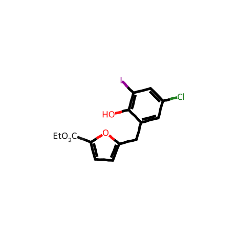 CCOC(=O)c1ccc(Cc2cc(Cl)cc(I)c2O)o1